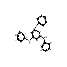 [c]1c(Oc2ccccc2)cc(Oc2ccccc2)cc1Oc1ccccc1